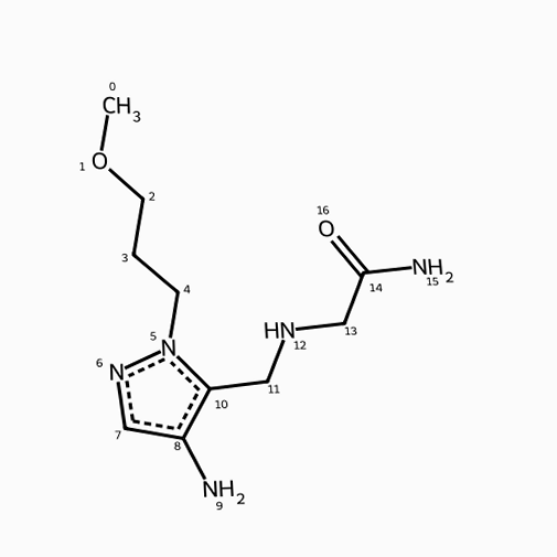 COCCCn1ncc(N)c1CNCC(N)=O